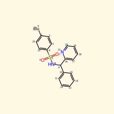 CCC(C)c1ccc(S(=O)(=O)NC(c2ccccc2)c2ccccn2)cc1